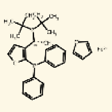 C[C@H](c1cc[cH-]c1P(c1ccccc1)c1ccccc1)P(C(C)(C)C)C(C)(C)C.[Fe+2].c1cc[cH-]c1